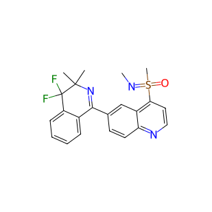 CN=S(C)(=O)c1ccnc2ccc(C3=NC(C)(C)C(F)(F)c4ccccc43)cc12